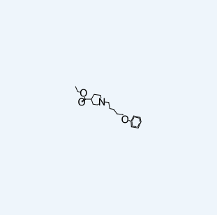 CCOC(=O)C1CCN(CCCCCOc2ccccc2)CC1